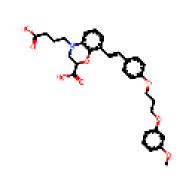 COc1cccc(OCCCOc2ccc(C=Cc3cccc4c3OC(C(=O)O)CN4CCCC(=O)O)cc2)c1